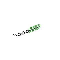 CCCC[C@H]1CC[C@H](C2CCC(c3ccc(C(F)(F)C(F)(F)C(F)(F)C(F)(F)C(F)(F)C(F)(F)C(F)(F)C(F)(F)F)cc3)CC2)CC1